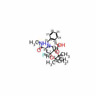 CNC(=O)[C@@H]1[C@@H](F)[C@H]2OC(C)(C)C(C)(C)O[C@@H]2[C@@H](CO)N1Cc1ccccc1